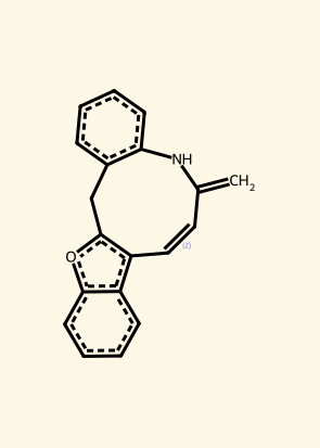 C=C1/C=C\c2c(oc3ccccc23)Cc2ccccc2N1